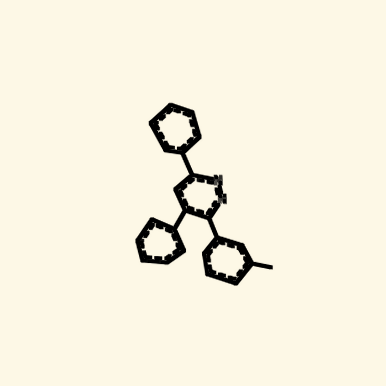 Cc1cccc(-c2nnc(-c3ccccc3)cc2-c2ccccc2)c1